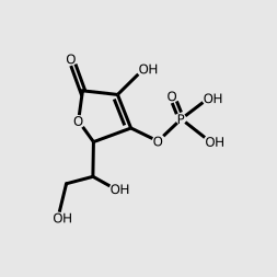 O=C1OC(C(O)CO)C(OP(=O)(O)O)=C1O